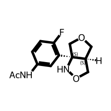 CC(=O)Nc1ccc(F)c([C@]23COC[C@H]2CON3)c1